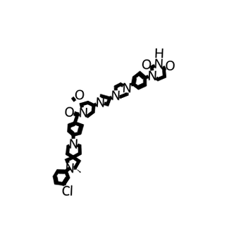 C=O.C[C@H]1CC2(CCN(c3ccc(C(=O)N4CCC(N5CC(N6CCN(c7ccc(N8CCC(=O)NC8=O)cc7)CC6)C5)CC4)cc3)CC2)CN1c1cccc(Cl)c1